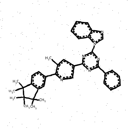 Cc1cc(-c2nc(-c3ccccc3)nc(-n3cnc4ccccc43)n2)cnc1-c1ccc2c(c1)C(C)(C)C(C)(C)C2(C)C